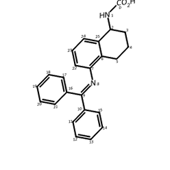 O=C(O)NC1CCCc2c(N=C(c3ccccc3)c3ccccc3)cccc21